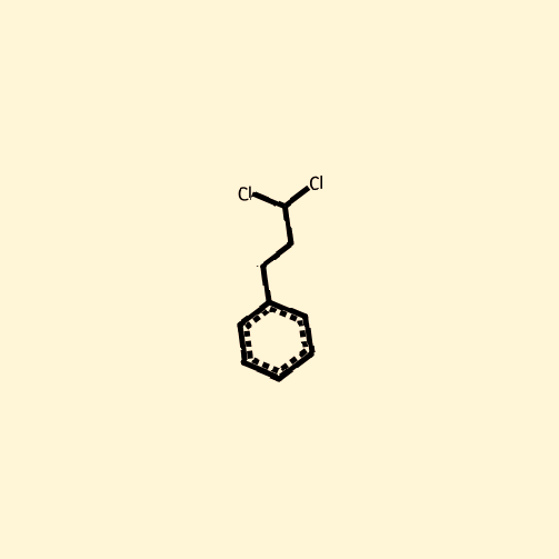 ClC(Cl)C[CH]c1ccccc1